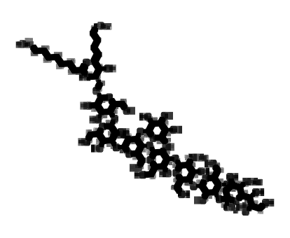 CCCCCCCCCCCCC/C=C/[C@@H](O)[C@H](CO[C@@H]1OC(CO)[C@@H](O[C@@H]2OC(CO)[C@H](O)[C@H](O[C@@H]3OC(CO)[C@@H](O[C@@H]4OC(CO)[C@H](O)[C@H](O[C@@H]5OC(CO)[C@@H](O[C@@H]6OC(CO)[C@H](O)[C@H](O[C@]7(C(=O)O)CC(O)[C@@H](NC(C)=O)C([C@H](O)[C@H](O)CO)O7)C6O)[C@H](O)C5NC(C)=O)C4O)[C@H](O[C@H]4OC(C)[C@@H](O)C(O)[C@@H]4O)C3NC(C)=O)C2O)[C@H](O)C1O)NC(=O)CCCCCCCCCCCCCCCCC